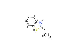 CCc1nc2[c]cccc2s1